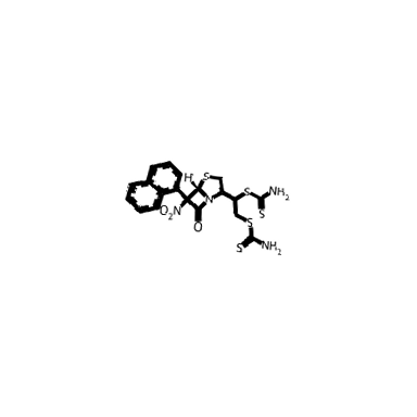 NC(=S)SCC(SC(N)=S)C1CS[C@@H]2N1C(=O)C2(c1cccc2ccccc12)[N+](=O)[O-]